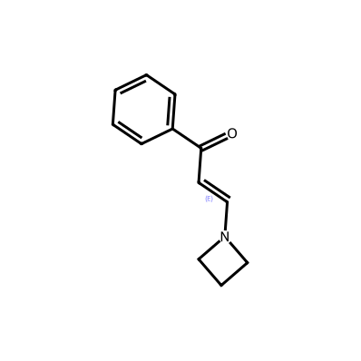 O=C(/C=C/N1CCC1)c1ccccc1